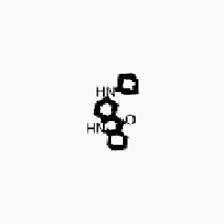 O=c1c2c([nH]c3ccc(Nc4ccccc4)cc13)CCCC2